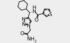 NC(=O)Cn1cc([C@@H](NC(=O)c2ccsc2)C2CCCCC2)nn1